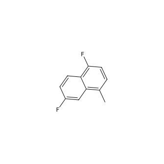 Cc1ccc(F)c2ccc(F)cc12